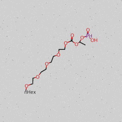 CCCCCCOCCOCCOCCOCCOC(=O)OC(C)O[PH](=O)O